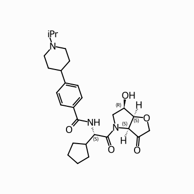 CC(C)N1CCC(c2ccc(C(=O)N[C@H](C(=O)N3C[C@@H](O)[C@H]4OCC(=O)[C@H]43)C3CCCC3)cc2)CC1